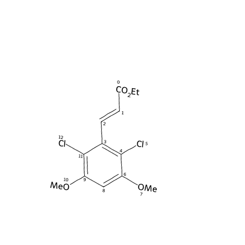 CCOC(=O)C=Cc1c(Cl)c(OC)cc(OC)c1Cl